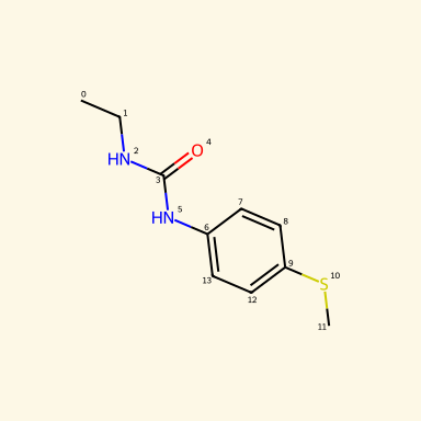 CCNC(=O)Nc1ccc(SC)cc1